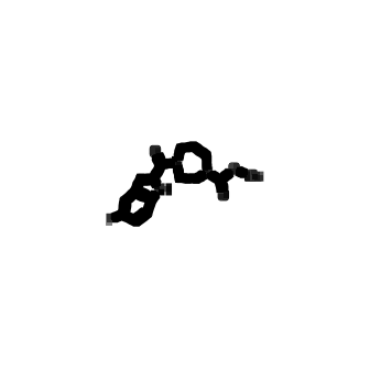 CC(C)(C)OC(=O)N1CCCN(C(=O)c2cc3cc(F)ccc3[nH]2)CC1